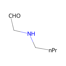 CCCCNCC=O